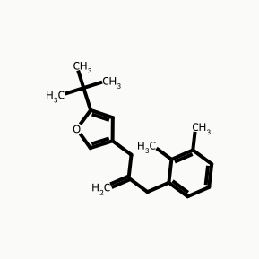 C=C(Cc1coc(C(C)(C)C)c1)Cc1cccc(C)c1C